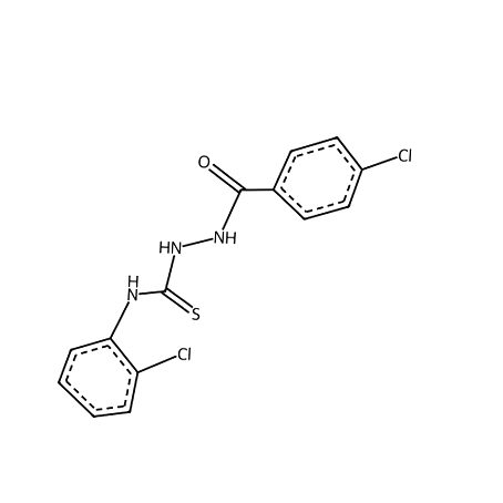 O=C(NNC(=S)Nc1ccccc1Cl)c1ccc(Cl)cc1